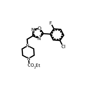 CCOC(=O)N1CCN(Cc2noc(-c3cc(Cl)ccc3F)n2)CC1